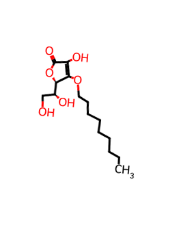 CCCCCCCCCOC1=C(O)C(=O)O[C@@H]1[C@@H](O)CO